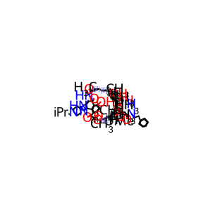 CO[C@H]1/C=C/O[C@@]2(C)Oc3c(C)c(O)c4c(c3C2=O)C2=NC3(CCN(CC(C)C)CC3)NC2=C(NC(=O)/C(C)=C\C=C\[C@H](C)[C@H](O)[C@@H](C)[C@@H](O)[C@@H](C)[C@H](OC(=O)CC(=O)NCCc2ccccc2)[C@@H]1C)C4=O